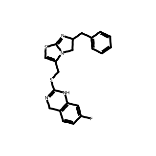 Fc1ccc2c(c1)NC(SCC1=CSC3=NC(Cc4ccccc4)CN13)=NC2